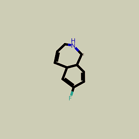 FC1=CC2C=CCN[C]C2C=C1